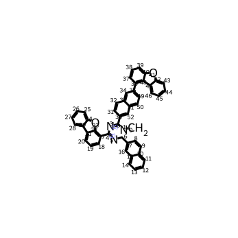 C=N/C(=N\C(=N/Cc1ccc2ccccc2c1)c1cccc2c1oc1ccccc12)c1ccc2cc(-c3cccc4oc5ccccc5c34)ccc2c1